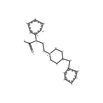 CC(=O)N(CCN1CCC(Cc2ccccc2)CC1)c1ccccc1